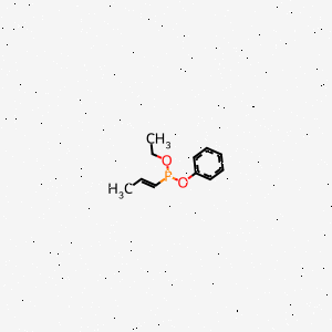 C/C=C/P(OCC)Oc1ccccc1